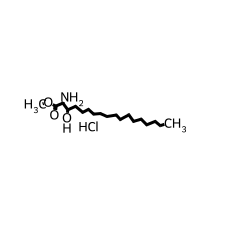 CCCCCCCCCCCCCCCC(O)C(N)C(=O)OC.Cl